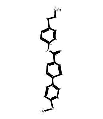 CCCOc1ccc(-c2ccc(C(=O)Oc3ccc(CCOC)cc3)cc2)cc1